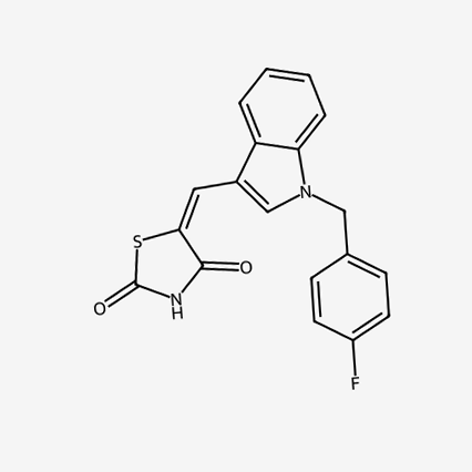 O=C1NC(=O)C(=Cc2cn(Cc3ccc(F)cc3)c3ccccc23)S1